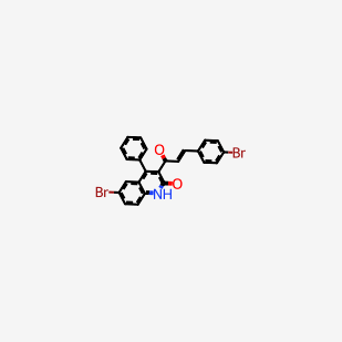 O=C(C=Cc1ccc(Br)cc1)c1c(-c2ccccc2)c2cc(Br)ccc2[nH]c1=O